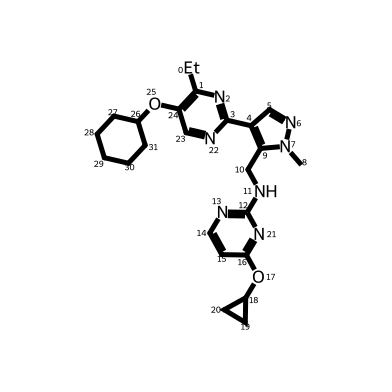 CCc1nc(-c2cnn(C)c2CNc2nccc(OC3CC3)n2)ncc1OC1CCCCC1